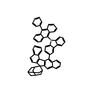 c1ccc(-c2c3ccccc3c(-n3c4ccccc4c4cc(-c5c6c(cc7ccccc57)C5(c7ccc8ccccc8c7-6)C6CC7CC(C6)CC5C7)ccc43)c3ccccc23)cc1